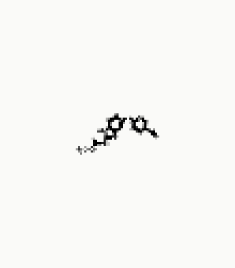 COC(=O)Nc1nc2cc(Sc3ccc(C#N)cn3)ccc2[nH]1